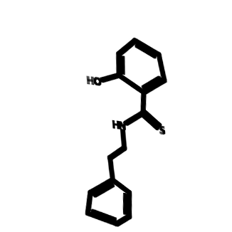 Oc1ccccc1C(=S)NCCc1ccccc1